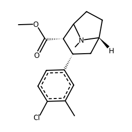 COC(=O)[C@@H]1C2CC[C@H](C[C@@H]1c1ccc(Cl)c(C)c1)N2C